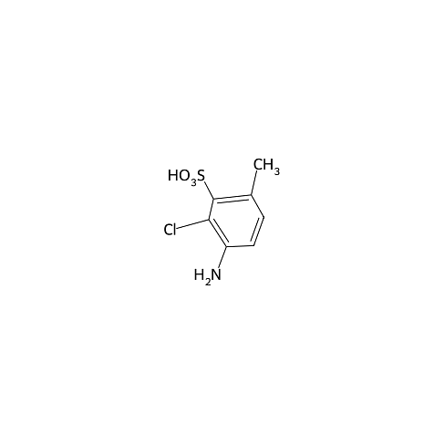 Cc1ccc(N)c(Cl)c1S(=O)(=O)O